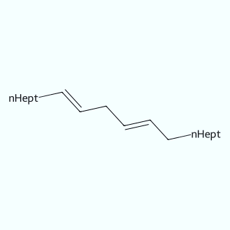 [CH2]CCCCCCCC=CCC=CCCCCCCC